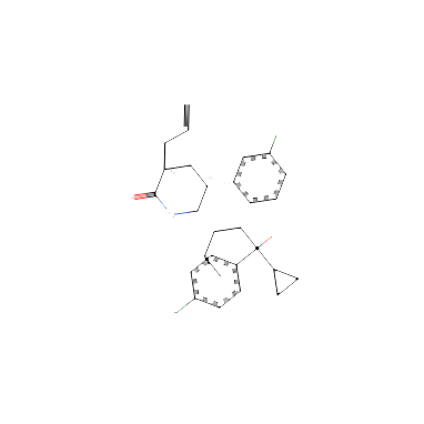 C=CC[C@@]1(C)C[C@H](c2cccc(Cl)c2)[C@H](C(CC)CC(O)(c2ccc(Cl)cc2)C2CC2)NC1=O